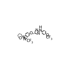 FC(F)(F)Oc1ccc(Nc2ncc(COc3ccc4c(c3)c(C(F)(F)F)nn4C3CCCCO3)cn2)cc1